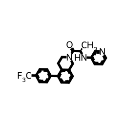 C[C@@H](Nc1cccnc1)C(=O)N1CCc2c(cccc2-c2ccc(C(F)(F)F)cc2)C1